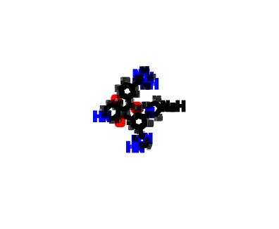 O=C(c1cc(-c2nc[nH]n2)cc(N2CCCC2)c1)[C@@H]1C(=O)c2cc(-c3nnn[nH]3)ccc2OC12CCNCC2.[NaH]